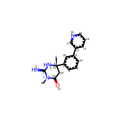 CN1C(=N)N[C@](C)(c2cccc(-c3cccnc3)c2)CC1=O